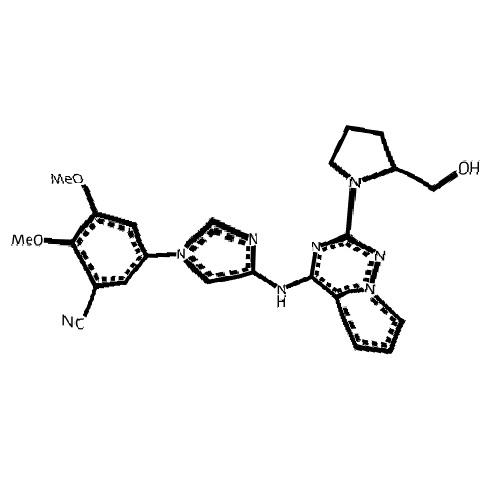 COc1cc(-n2cnc(Nc3nc(N4CCCC4CO)nn4cccc34)c2)cc(C#N)c1OC